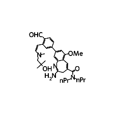 CCCN(CCC)C(=O)C1=Cc2c(cc(-c3ccc(C=O)c(/C=C\N(C)CC(C)(C)O)c3)cc2OC)N=C(N)C1